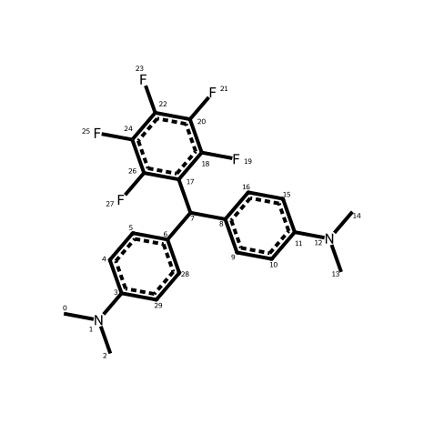 CN(C)c1ccc(C(c2ccc(N(C)C)cc2)c2c(F)c(F)c(F)c(F)c2F)cc1